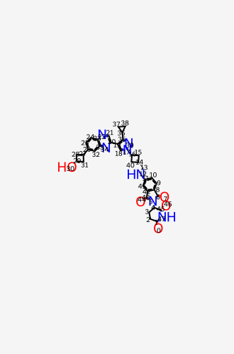 O=C1CCC(N2C(=O)c3ccc(NC[C@H]4C[C@H](n5cc(-c6cnc7ccc(C8CC(O)C8)cc7n6)c(C6CC6)n5)C4)cc3C2=O)C(=O)N1